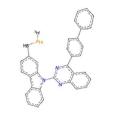 [3H]PBc1ccc2c3ccccc3n(-c3nc(-c4ccc(-c5ccccc5)cc4)c4ccccc4n3)c2c1